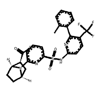 Cc1ccccc1-c1nc(NS(=O)(=O)c2cccc(N3[C@@H]4CC[C@H]3[C@@H](C(=O)O)C4)n2)ccc1C(F)(F)F